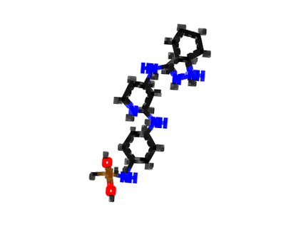 CS(=O)(=O)Nc1ccc(Nc2cc(Nc3n[nH]c4ccccc34)ccn2)cc1